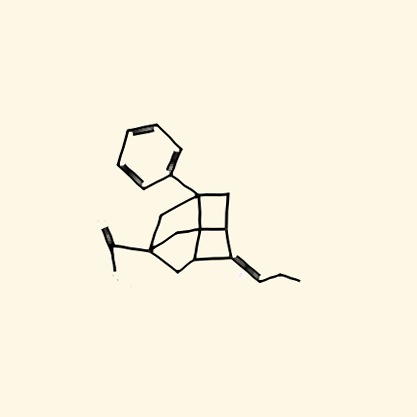 CC/C=C1/C2CC3(C(N)=O)CC4(c5ccccc5)CC1C24C3